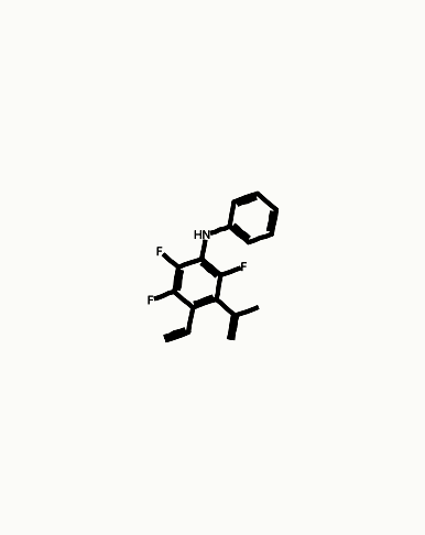 C=Cc1c(F)c(F)c(Nc2ccccc2)c(F)c1C(=C)C